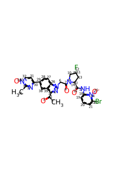 CC(=O)c1nn(CC(=O)N2C[C@H](F)C[C@H]2C(=O)Nc2cccc(Br)[n+]2[O-])c2ccc(-c3cc[n+]([O-])c(C)n3)cc12